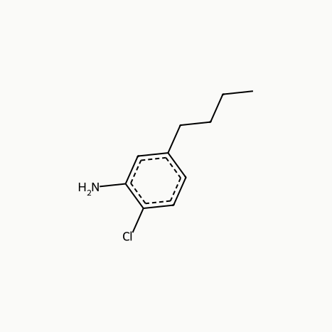 CCCCc1ccc(Cl)c(N)c1